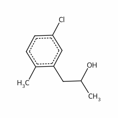 Cc1ccc(Cl)cc1CC(C)O